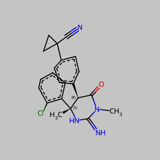 CN1C(=N)N[C@](C)(c2ccccc2Cl)[C@@H](c2ccc(C3(C#N)CC3)cc2)C1=O